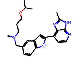 Cc1nc2c(-c3cc4cc(CN(C)CCCOC(C)C)ccc4[nH]3)ccnc2[nH]1